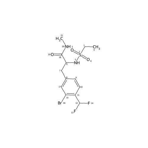 CCS(=O)(=O)NC(Cc1ccc(C(F)F)c(Br)c1)C(=O)NC